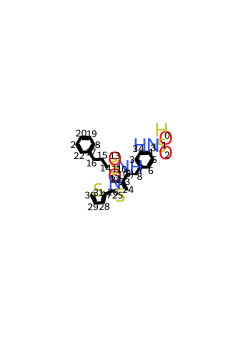 O=[SH](=O)Nc1ccc(C[C@H](NS(=O)(=O)CCCc2ccccc2)c2csc(-c3cccs3)n2)cc1